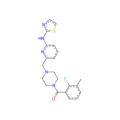 Cc1cccc(C(=O)N2CCN(Cc3cccc(Nc4nccs4)n3)CC2)c1F